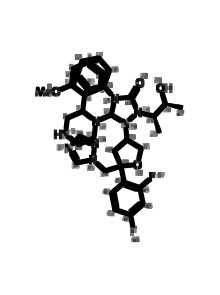 COc1ccccc1C1CNCCN1C1N(c2ccccc2)C(=O)N([C@H](C)[C@H](C)O)N1C1COC(Cn2cncn2)(c2ccc(F)cc2F)C1